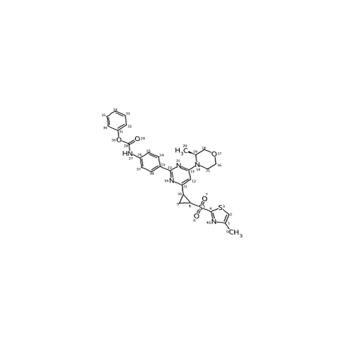 Cc1csc(S(=O)(=O)C2CC2c2cc(N3CCOC[C@@H]3C)nc(-c3ccc(NC(=O)Oc4ccccc4)cc3)n2)n1